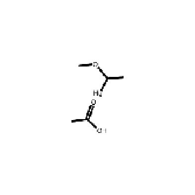 CC(=O)O.CO[CH](C)[Hg]